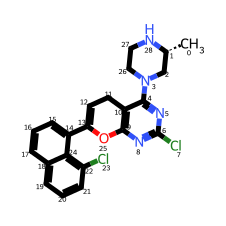 C[C@@H]1CN(c2nc(Cl)nc3c2CC=C(c2cccc4cccc(Cl)c24)O3)CCN1